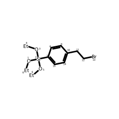 CCO[Si](OCC)(OCC)c1ccc(CCBr)cc1